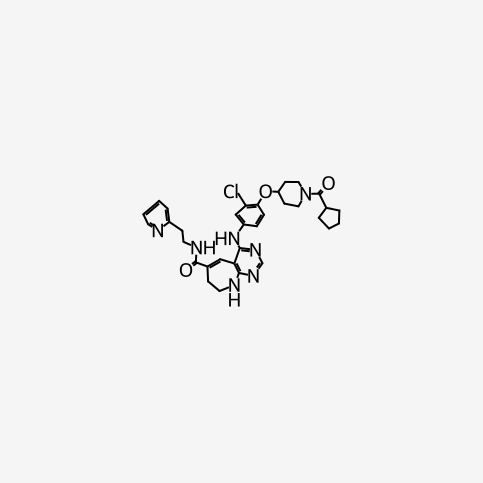 O=C(NCCc1ccccn1)C1=Cc2c(ncnc2Nc2ccc(OC3CCN(C(=O)C4CCCC4)CC3)c(Cl)c2)NCC1